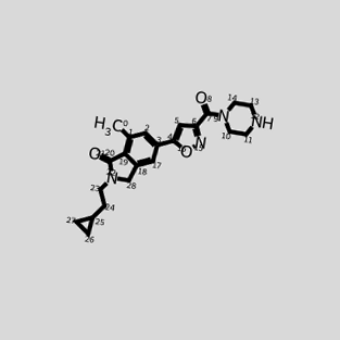 Cc1cc(-c2cc(C(=O)N3CCNCC3)no2)cc2c1C(=O)N(CCC1CC1)C2